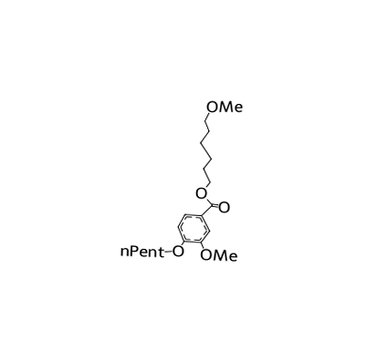 CCCCCOc1ccc(C(=O)OCCCCCCOC)cc1OC